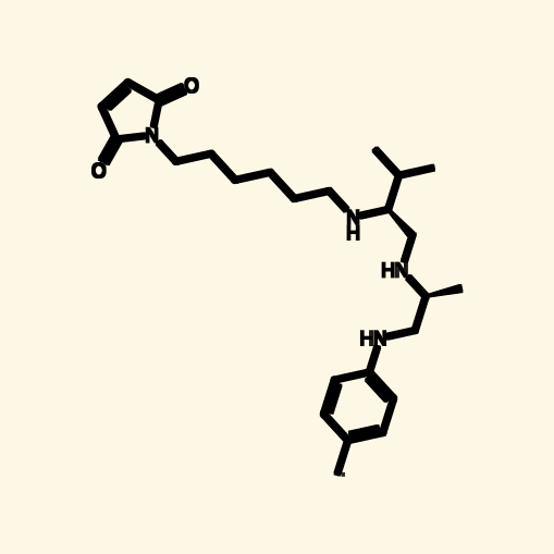 [CH2]c1ccc(NC[C@H](C)NC[C@@H](NCCCCCCN2C(=O)C=CC2=O)C(C)C)cc1